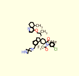 COC(=O)C1(N(C(=O)C(F)(F)F)c2cccc(Cl)c2)CCC2(CC1)c1cc(CN3CC4(CNC4)C3)ccc1C[C@@H]2C[C@@H](C)COc1ccnc2c1[C@H](C)CCC2